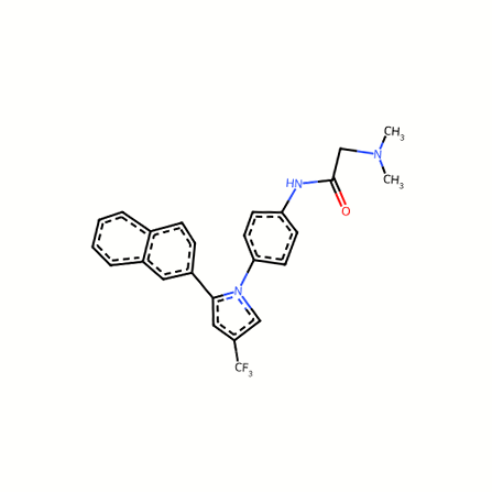 CN(C)CC(=O)Nc1ccc(-n2cc(C(F)(F)F)cc2-c2ccc3ccccc3c2)cc1